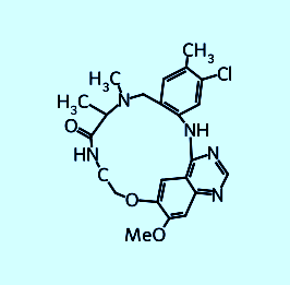 COc1cc2ncnc3c2cc1OCCNC(=O)C(C)N(C)Cc1cc(C)c(Cl)cc1N3